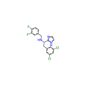 Fc1ccc(CNC(Cc2cc(Cl)cc(Cl)c2)c2ncc[nH]2)cc1F